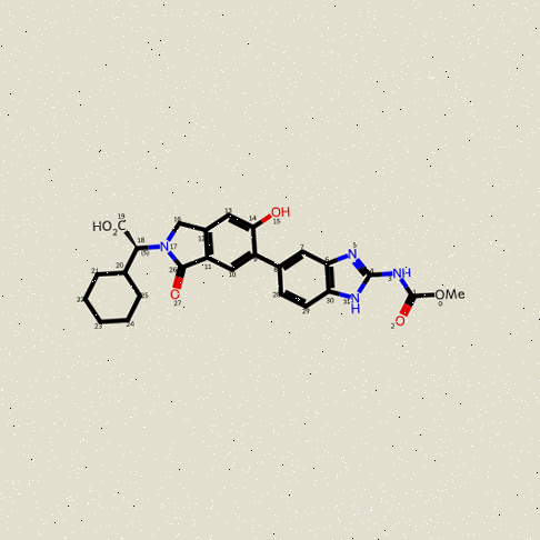 COC(=O)Nc1nc2cc(-c3cc4c(cc3O)CN([C@H](C(=O)O)C3CCCCC3)C4=O)ccc2[nH]1